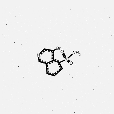 NS(=O)(=O)c1cccc2cncc(Br)c12